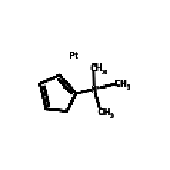 C[N+](C)(C)C1=CC=CC1.[Pt]